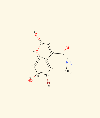 N[SiH3].O=c1cc(CO)c2cc(Br)c(O)cc2o1